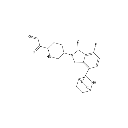 O=CC(=O)C1CCC(N2Cc3c(N4CC5CCC4CN5)ccc(F)c3C2=O)CN1